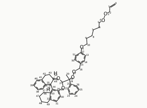 C=CCOOCCCCCCOc1ccc(COOC(C)(c2ccccc2)C2Oc3ccc4c(c3[C@H]3c5ccccc5CC[C@H]3O2)CCCC4)cc1